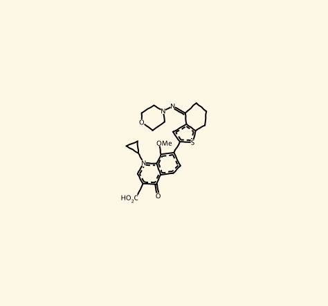 COc1c(-c2cc3c(s2)CCC/C3=N/N2CCOCC2)ccc2c(=O)c(C(=O)O)cn(C3CC3)c12